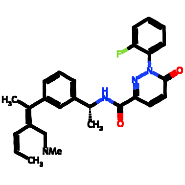 C/C=C\C(CNC)=C(/C)c1cccc([C@@H](C)NC(=O)c2ccc(=O)n(-c3ccccc3F)n2)c1